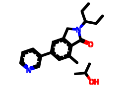 CC(C)O.CCC(CC)N1Cc2cc(-c3cccnc3)cc(C)c2C1=O